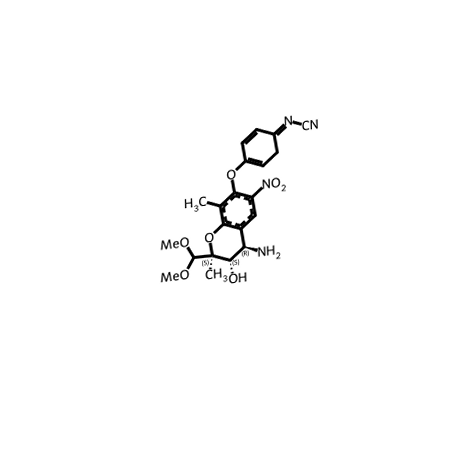 COC(OC)[C@@]1(C)Oc2c(cc([N+](=O)[O-])c(OC3=CCC(=NC#N)C=C3)c2C)[C@@H](N)[C@@H]1O